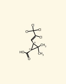 CC1(C)[C@H](C=C(Cl)C(Cl)(Cl)Cl)[C@@H]1C(=O)O